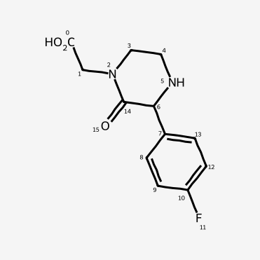 O=C(O)CN1CCNC(c2ccc(F)cc2)C1=O